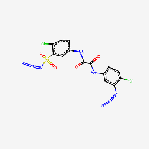 [N-]=[N+]=Nc1cc(NC(=O)C(=O)Nc2ccc(Cl)c(S(=O)(=O)N=[N+]=[N-])c2)ccc1Cl